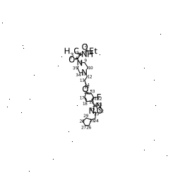 CCC(=O)N[C@H](C)C(=O)N1CCN(CCCOc2ccc(-c3noc(CC4CCCC4)n3)c(F)c2)CC1